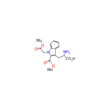 CC(C)(C)OC(=O)Cn1c(C(=O)OC(C)(C)C)c(CC(N)C(=O)O)c2ccccc21